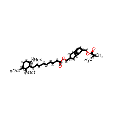 C=C(C)C(=O)OCC1CC2CC1C1CC(COC(=O)CCCCCCCCC3C(CCCCCC)CCC(CCCCCCCC)C3CCCCCCCC)CC21